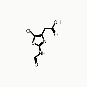 O=CNc1nc(CC(=O)O)c(Cl)s1